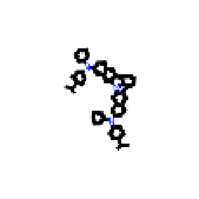 CC(C)c1ccc(N(c2ccccc2)c2ccc3cc4c5cccc6c7cc8ccc(N(c9ccccc9)c9ccc(C(C)C)cc9)cc8cc7n(c4cc3c2)c56)cc1